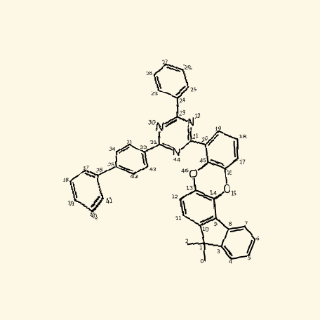 CC1(C)c2ccccc2-c2c1ccc1c2Oc2cccc(-c3nc(-c4ccccc4)nc(-c4ccc(-c5ccccc5)cc4)n3)c2O1